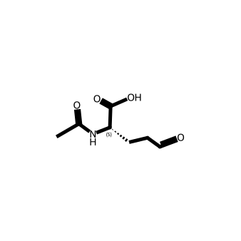 CC(=O)N[C@@H](CCC=O)C(=O)O